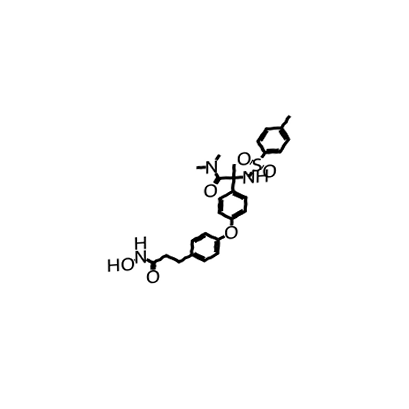 Cc1ccc(S(=O)(=O)NC(C)(C(=O)N(C)C)c2ccc(Oc3ccc(CCC(=O)NO)cc3)cc2)cc1